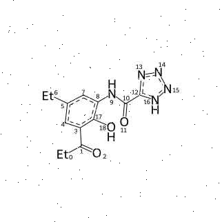 CCC(=O)c1cc(CC)cc(NC(=O)c2nnn[nH]2)c1O